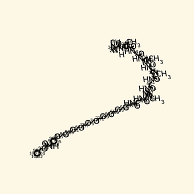 Cn1cc(NC(=O)c2nc(NC(=O)CCNC(=O)c3cc(NC(=O)c4nccn4C)cn3C)cn2C)cc1C(=O)NCCC(=O)Nc1cn(C)c(C(=O)NCCC(=O)NCCOCCOCCOCCOCCOCCOCCOCCOCCOCCOc2ccc(NC(=O)OCc3ccccc3)cc2)n1